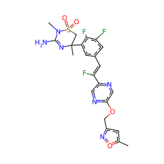 Cc1cc(COc2cnc(C(F)=Cc3cc(F)c(F)c(C4(C)CS(=O)(=O)N(C)C(N)=N4)c3)cn2)no1